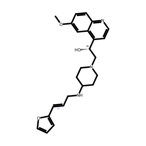 COc1ccc2nccc([C@@H](O)CN3CCC(NC/C=C/c4ccco4)CC3)c2c1